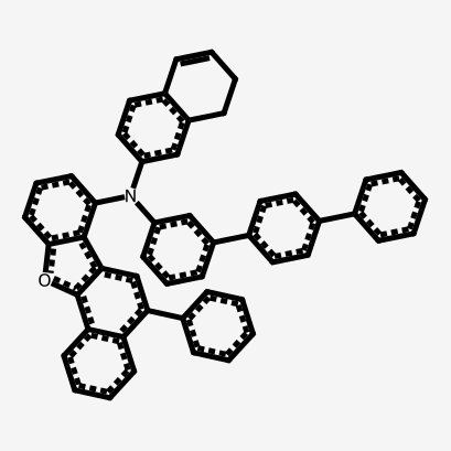 C1=Cc2ccc(N(c3cccc(-c4ccc(-c5ccccc5)cc4)c3)c3cccc4oc5c6ccccc6c(-c6ccccc6)cc5c34)cc2CC1